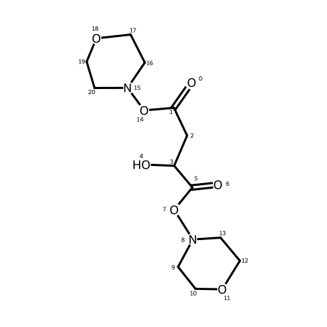 O=C(CC(O)C(=O)ON1CCOCC1)ON1CCOCC1